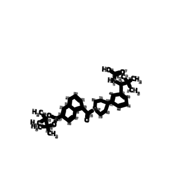 CC(C)(C)C(NC(=O)O)c1cccc(C2CCN(C(=O)c3cccc4cc(B5OC(C)(C)C(C)(C)O5)ccc34)CC2)c1